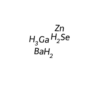 [BaH2].[GaH3].[SeH2].[Zn]